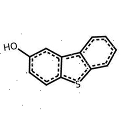 Oc1[c]cc2sc3ccccc3c2c1